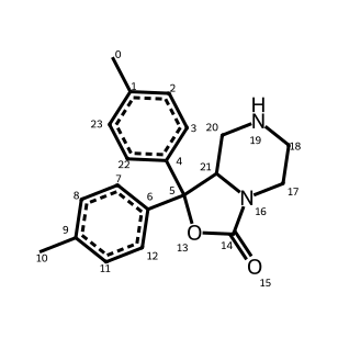 Cc1ccc(C2(c3ccc(C)cc3)OC(=O)N3CCNCC32)cc1